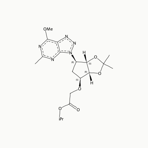 COc1nc(C)nc2c1nnn2[C@@H]1C[C@H](OCC(=O)OC(C)C)[C@H]2OC(C)(C)O[C@H]21